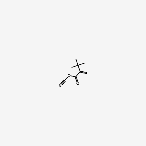 C=C(C(=O)OC#N)C(C)(C)C